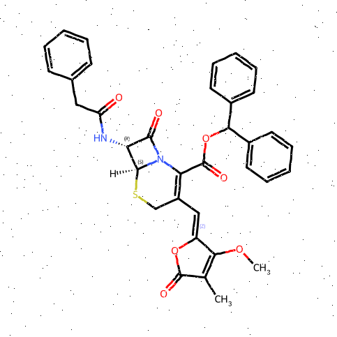 COC1=C(C)C(=O)O/C1=C\C1=C(C(=O)OC(c2ccccc2)c2ccccc2)N2C(=O)[C@@H](NC(=O)Cc3ccccc3)[C@@H]2SC1